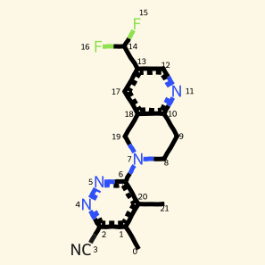 Cc1c(C#N)nnc(N2CCc3ncc(C(F)F)cc3C2)c1C